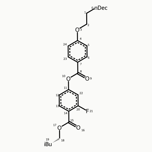 CCCCCCCCCCCCOc1ccc(C(=O)Oc2ccc(C(=O)OC[C@@H](C)CC)c(F)c2)cc1